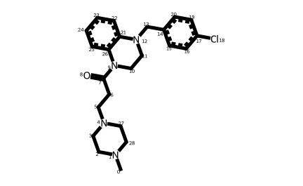 CN1CCN(CCC(=O)N2CCN(Cc3ccc(Cl)cc3)c3ccccc32)CC1